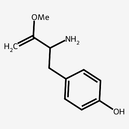 C=C(OC)C(N)Cc1ccc(O)cc1